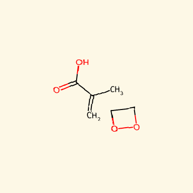 C1COO1.C=C(C)C(=O)O